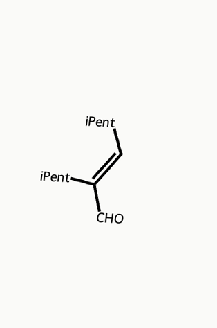 CCCC(C)C=C(C=O)C(C)CCC